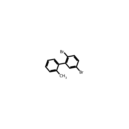 Cc1ccccc1-c1cc(Br)ccc1Br